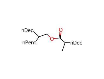 CCCCCCCCCCC(CCCCC)COC(=O)C(C)CCCCCCCCCC